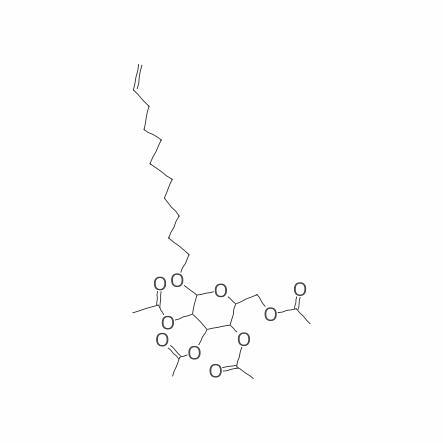 C=CCCCCCCCCCOC1OC(COC(C)=O)C(OC(C)=O)C(OC(C)=O)C1OC(C)=O